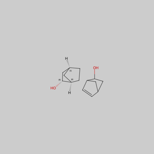 OC1CC2C=CC1C2.O[C@@H]1C[C@H]2CC[C@@H]1C2